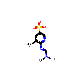 Cc1cc(S(=O)(=O)O)cnc1N=CN(C)C